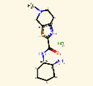 CN1CCc2nc(C(=O)N[C@@H]3CCCC[C@@H]3N)sc2C1.Cl